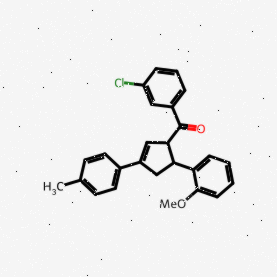 COc1ccccc1C1CC(c2ccc(C)cc2)=CC1C(=O)c1cccc(Cl)c1